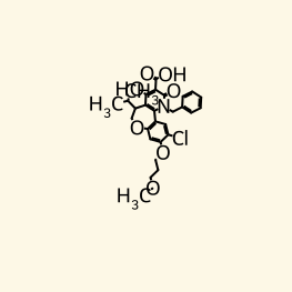 COCCCOc1cc2c(cc1Cl)-c1c(c(O)c(C(=O)O)c(=O)n1Cc1ccccc1)C(C(C)C)CO2